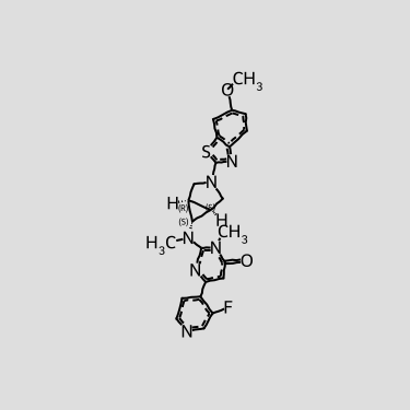 COc1ccc2nc(N3C[C@@H]4[C@H](C3)[C@H]4N(C)c3nc(-c4ccncc4F)cc(=O)n3C)sc2c1